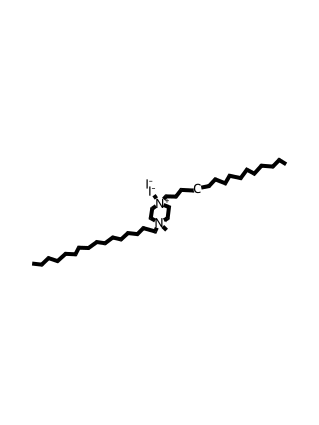 CCCCCCCCCCCCCCCC[N+]1(C)CC[N+](C)(CCCCCCCCCCCCCCCC)CC1.[I-].[I-]